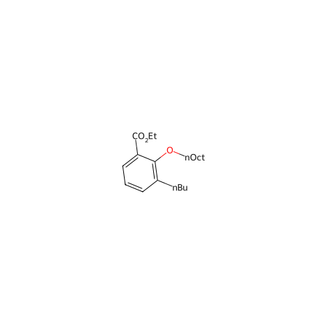 CCCCCCCCOc1c(CCCC)cccc1C(=O)OCC